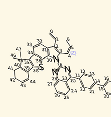 C=Cc1c(/C=C\C)n(-c2nc(-c3ccc(-c4ccccc4)cc3)c3ccccc3n2)c2c1ccc1c3c(sc12)C1=C(CCC=C1)C3(C)C